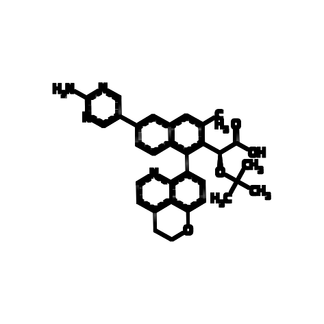 Cc1cc2cc(-c3cnc(N)nc3)ccc2c(-c2ccc3c4c(ccnc24)CCO3)c1[C@H](OC(C)(C)C)C(=O)O